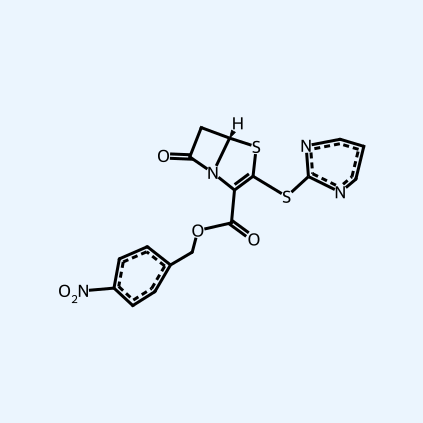 O=C(OCc1ccc([N+](=O)[O-])cc1)C1=C(Sc2ncccn2)S[C@H]2CC(=O)N12